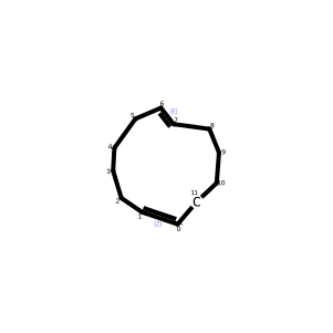 [C]1=C\CCCC/C=C/CCCC/1